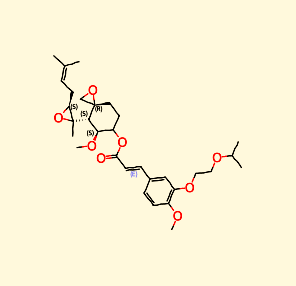 COc1ccc(/C=C/C(=O)OC2CC[C@]3(CO3)[C@@H](C3(C)O[C@H]3CC=C(C)C)[C@@H]2OC)cc1OCCOC(C)C